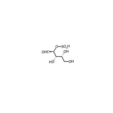 O=C[C@@H](OS(=O)(=O)O)[C@@H](O)[C@H](O)CO